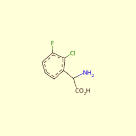 NC(C(=O)O)c1cccc(F)c1Cl